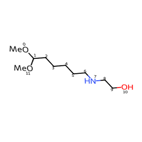 COC(CCCCCNCCO)OC